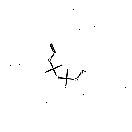 C=COC(C)(C)OC(C)(C)O[C](C)C